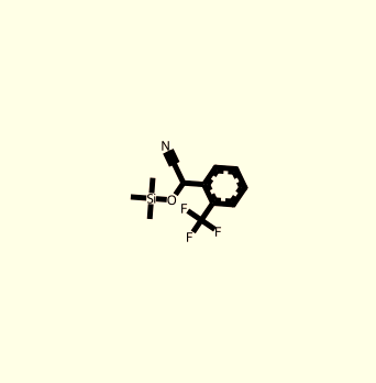 C[Si](C)(C)OC(C#N)c1ccccc1C(F)(F)F